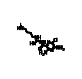 N=C(NCCCCNI)NC(=O)c1nc(Cl)c(N)nc1N